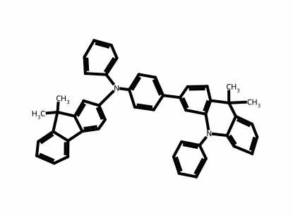 CC1(C)c2ccccc2-c2ccc(N(c3ccccc3)c3ccc(-c4ccc5c(c4)N(c4ccccc4)c4ccccc4C5(C)C)cc3)cc21